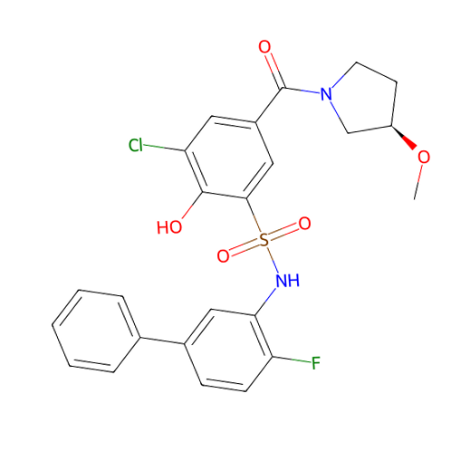 CO[C@@H]1CCN(C(=O)c2cc(Cl)c(O)c(S(=O)(=O)Nc3cc(-c4ccccc4)ccc3F)c2)C1